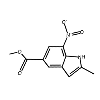 COC(=O)c1cc([N+](=O)[O-])c2[nH]c(C)cc2c1